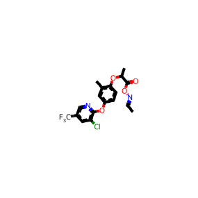 CC=NOC(=O)C(C)Oc1ccc(Oc2ncc(C(F)(F)F)cc2Cl)cc1C